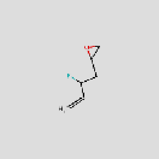 C=CC(F)CC1CO1